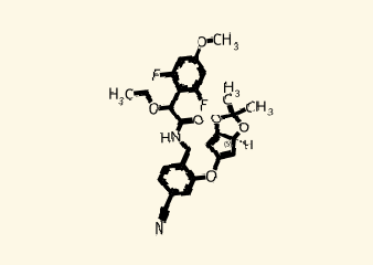 CCOC(C(=O)NCc1ccc(C#N)cc1OC1=C[C@@H]2OC(C)(C)OC2=C1)c1c(F)cc(OC)cc1F